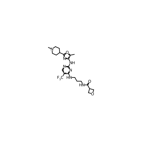 Cc1oc(C2CCN(C)CC2)nc1Nc1ncc(C(F)(F)F)c(NCCCNC(=O)C2COC2)n1